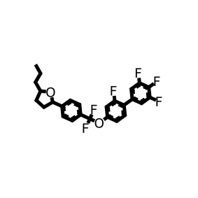 CCCC1CCC(c2ccc(C(F)(F)Oc3ccc(-c4cc(F)c(F)c(F)c4)c(F)c3)cc2)O1